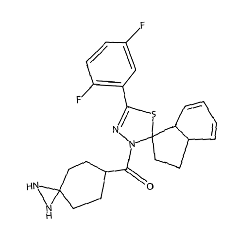 O=C(C1CCC2(CC1)NN2)N1N=C(c2cc(F)ccc2F)SC12CCC1C=CC=CC12